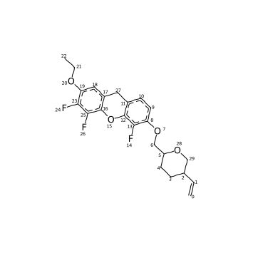 C=CC1CCC(COc2ccc3c(c2F)Oc2c(cc(OCC)c(F)c2F)C3)OC1